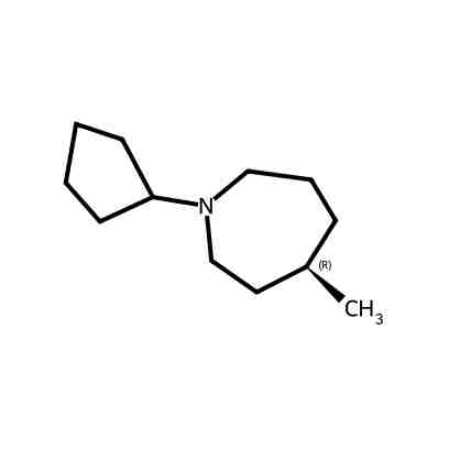 C[C@@H]1CCCN(C2CCCC2)CC1